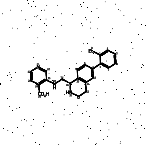 CCc1ccccc1-c1ccc2c(c1)CCN[C@H]2CNc1cnccc1C(=O)O